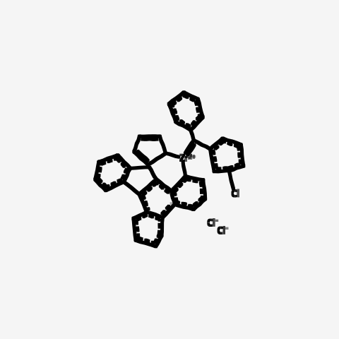 Clc1cccc([C](c2ccccc2)=[Zr+2]([c]2cccc3c2c2c(c4ccccc43)-c3ccccc3C2)[CH]2C=CC=C2)c1.[Cl-].[Cl-]